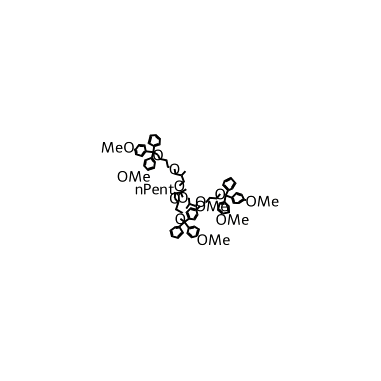 [CH2]CCCCC(OCCCOC(c1ccccc1)(c1ccc(OC)cc1)c1ccc(OC)cc1)C(C)(OCC(C)COCCCOC(c1ccccc1)(c1ccc(OC)cc1)c1ccc(OC)cc1)OCC(C)COCCCOC(c1ccccc1)(c1ccc(OC)cc1)c1ccc(OC)cc1